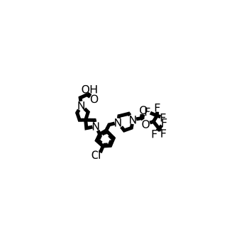 O=C(O)CN1CCC2(C1)CN(c1cc(Cl)ccc1CN1CCN(C(=O)OC(C(F)(F)F)C(F)(F)F)CC1)C2